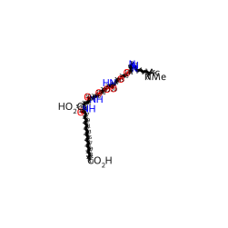 CN[C@@H](CCCCn1nncc1COCCOCCNC(=O)COCCOCCNC(=O)CCC(NC(=O)CCCCCCCCCCCCCCCCC(=O)O)C(=O)O)C(C)=O